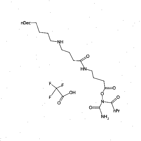 CCCCCCCCCCCCCCNCCCC(=O)NCCCC(=O)ON(C(N)=O)C(=O)CCC.O=C(O)C(F)(F)F